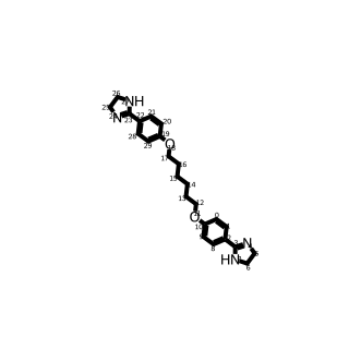 c1cc(C2=NCCN2)ccc1OCCCCCCOc1ccc(C2=NCCN2)cc1